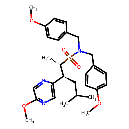 COc1ccc(CN(Cc2ccc(OC)cc2)S(=O)(=O)[C@@H](C)[C@@H](CC(C)C)c2cnc(OC)cn2)cc1